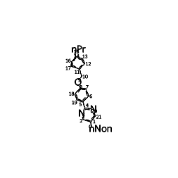 CCCCCCCCCc1cnc(-c2ccc(OCc3ccc(CCC)cc3)cc2)nc1